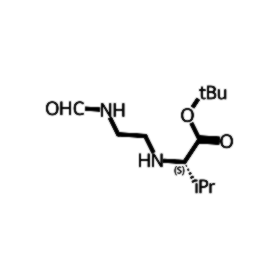 CC(C)[C@H](NCCNC=O)C(=O)OC(C)(C)C